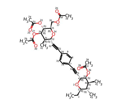 CC[C@H]1O[C@H](C#Cc2ccc(C#C[C@H]3O[C@H](COC(C)=O)[C@@H](OC(C)=O)[C@H](OC(C)=O)[C@@H]3C)cc2)[C@@H](OC(C)=O)[C@@H](C)[C@@H]1C